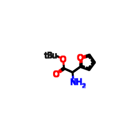 CC(C)(C)OC(=O)C(N)c1ccco1